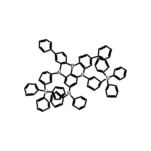 c1ccc(-c2ccc3c(c2)N(c2cccc([Si](c4ccccc4)(c4ccccc4)c4ccccc4)c2)c2cc(N(c4ccccc4)c4ccccc4)cc4c2B3c2ccc(-c3ccccc3)cc2N4c2cccc([Si](c3ccccc3)(c3ccccc3)c3ccccc3)c2)cc1